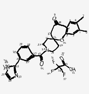 Cc1cc2c(cc1C)C(=O)CC1(CCN(C(=O)c3cccc(-c4ncc[nH]4)c3)CC1)O2.O=C(O)C(F)(F)F